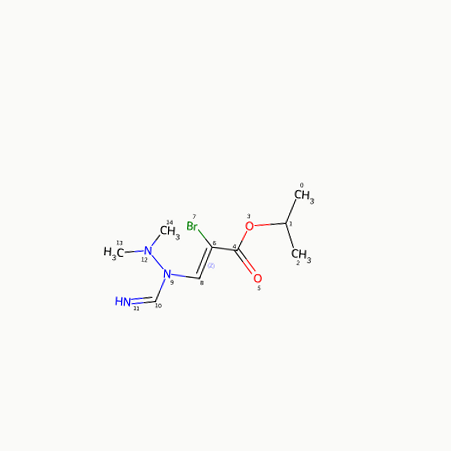 CC(C)OC(=O)/C(Br)=C/N(C=N)N(C)C